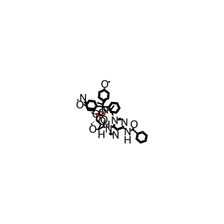 COc1ccc(C(O[C@H](C)[C@@]23CO[C@@H]([C@H](n4cnc5c(NC(=O)c6ccccc6)ncnc54)O2)[C@@H]3OP(OCCC#N)N(C(C)C)C(C)C)(c2ccccc2)c2ccc(OC)cc2)cc1